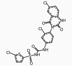 O=C(Nc1ccc(-n2c(=O)[nH]c3ccc(Cl)cc3c2=O)c(Cl)c1)NS(=O)(=O)c1ccc(Cl)s1